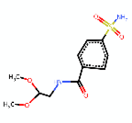 COC(CNC(=O)c1ccc(S(N)(=O)=O)cc1)OC